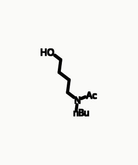 CCCCN(CCCCO)C(C)=O